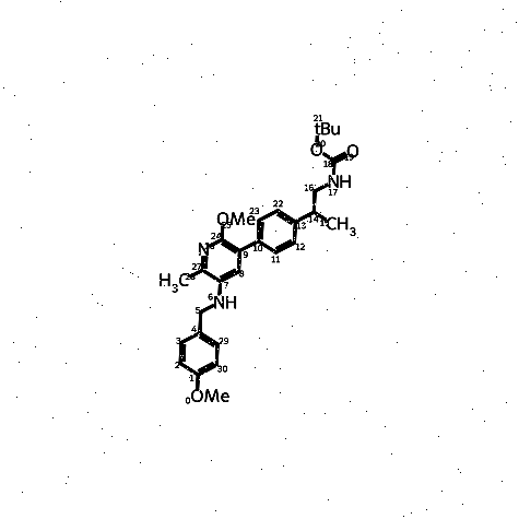 COc1ccc(CNc2cc(-c3ccc(C(C)CNC(=O)OC(C)(C)C)cc3)c(OC)nc2C)cc1